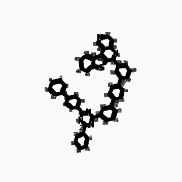 c1ccc(-c2ccc(-c3nc(-c4ccccc4)nc(-c4cccc(-c5ccc(-c6cccc(-c7nc8ccncc8c8c7sc7ccccc78)c6)cc5)c4)n3)cc2)cc1